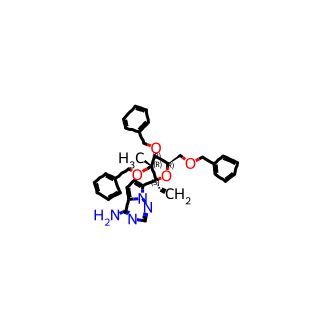 C=C[C@@]1(c2ccc3c(N)ncnn23)O[C@H](COCc2ccccc2)[C@@H](OCc2ccccc2)[C@@]1(C)OCc1ccccc1